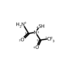 NC(=O)N(S)C(=O)C(F)(F)F